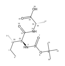 CC[C@H](C)[C@H](NC(=O)OC(C)(C)C)C(=O)N[C@@H](C)C(=O)O